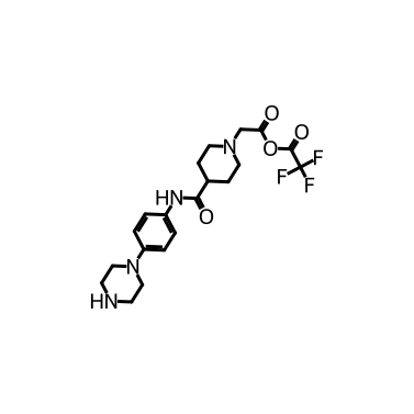 O=C(CN1CCC(C(=O)Nc2ccc(N3CCNCC3)cc2)CC1)OC(=O)C(F)(F)F